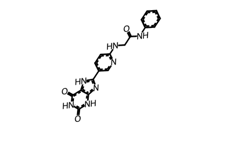 O=C(CNc1ccc(-c2nc3[nH]c(=O)[nH]c(=O)c3[nH]2)cn1)Nc1ccccc1